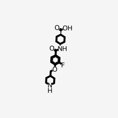 O=C(N[C@H]1CC[C@H](C(=O)O)CC1)c1ccc(OCC2CCNCC2)c(F)c1